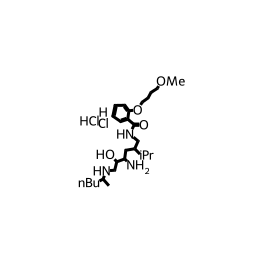 CCCCC(C)NCC(O)C(N)CC(CNC(=O)c1ccccc1OCCCCOC)C(C)C.Cl.Cl